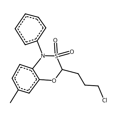 Cc1ccc2c(c1)OC(CCCCl)S(=O)(=O)N2c1ccccc1